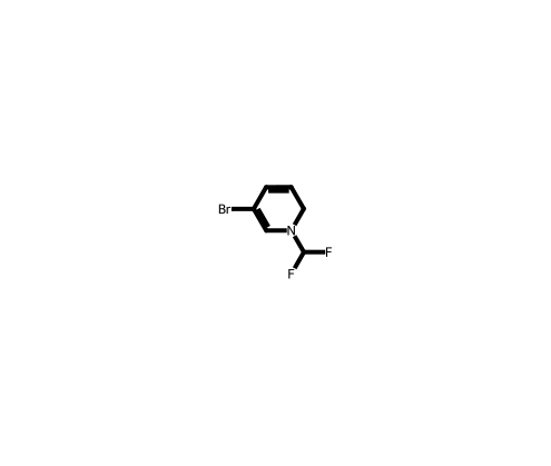 FC(F)N1C=C(Br)C=CC1